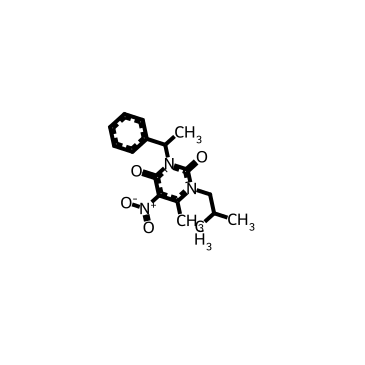 Cc1c([N+](=O)[O-])c(=O)n(C(C)c2ccccc2)c(=O)n1CC(C)C